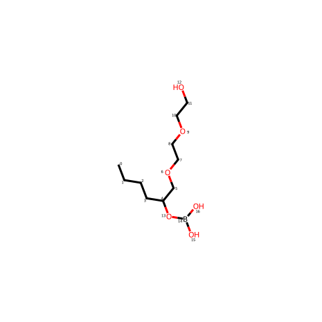 CCCCC(COCCOCCO)OB(O)O